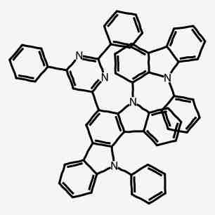 c1ccc(-c2cc(-c3cc4c5ccccc5n(-c5ccccc5)c4c4c5ccccc5n(-c5cccc6c7ccccc7n(-c7ccccc7)c56)c34)nc(-c3ccccc3)n2)cc1